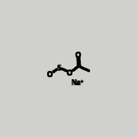 CC(=O)OS[O-].[Na+]